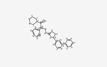 O=C(C1CCCCC1)N(CCN1CCC(c2cccc(-c3ccccc3)c2)C1)c1ccccn1